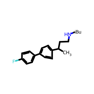 CCC(C)NCCC(C)c1ccc(-c2ccc(F)cc2)cc1